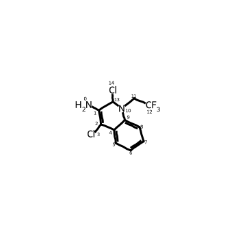 NC1=C(Cl)c2ccccc2N(CC(F)(F)F)C1Cl